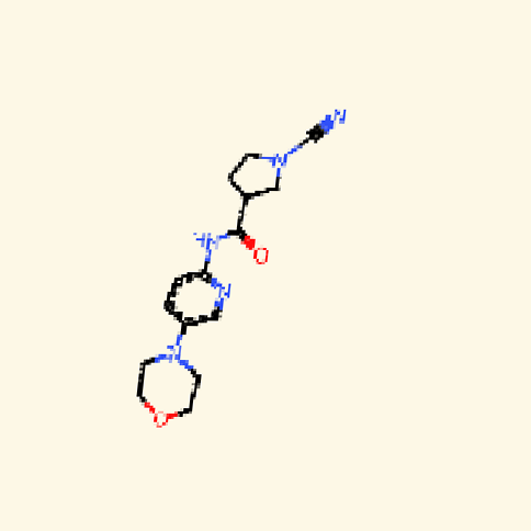 N#CN1CCC(C(=O)Nc2ccc(N3CCOCC3)cn2)C1